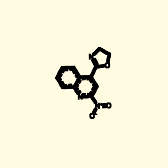 O=[N+]([O-])c1cc(C2=NCCO2)c2ccccc2n1